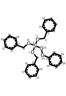 c1ccc(CO[Si](OCc2ccccc2)(OCc2ccccc2)OOc2ccccc2)cc1